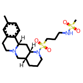 Cc1ccc2c(c1)CCN1C[C@H]3CCCN(S(=O)(=O)CCCNS(C)(=O)=O)[C@H]3C[C@@H]21